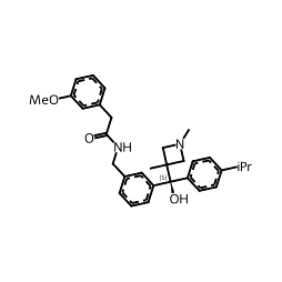 COc1cccc(CC(=O)NCc2cccc([C@@](O)(c3ccc(C(C)C)cc3)C3(C)CN(C)C3)c2)c1